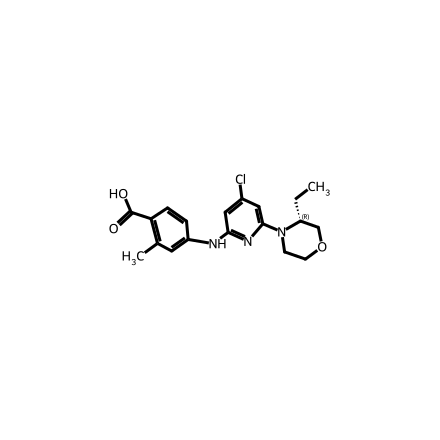 CC[C@@H]1COCCN1c1cc(Cl)cc(Nc2ccc(C(=O)O)c(C)c2)n1